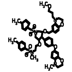 COCCCN1CCOc2ccc(COC3CN(S(=O)(=O)c4ccc(C)cc4)CC(OCCN(C)S(=O)(=O)c4ccc(C)cc4)C3c3ccc(Oc4ccc5c(c4)OCCN5C)cc3)cc21